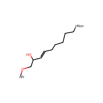 [CH2]CCOCC(O)C=CCCCCCCCCCCCCCC